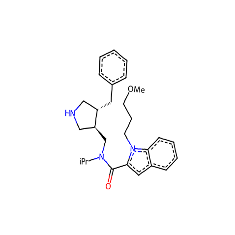 COCCCn1c(C(=O)N(C[C@H]2CNC[C@@H]2Cc2ccccc2)C(C)C)cc2ccccc21